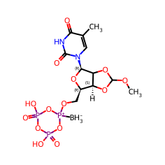 [BH3-][P+]1(OC[C@H]2O[C@@H](n3cc(C)c(=O)[nH]c3=O)C3OC(OC)O[C@H]32)OP(=O)(O)OP(=O)(O)O1